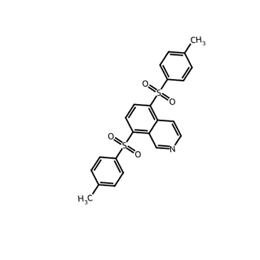 Cc1ccc(S(=O)(=O)c2ccc(S(=O)(=O)c3ccc(C)cc3)c3cnccc23)cc1